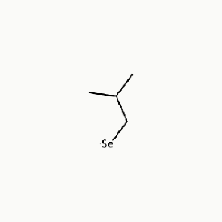 CC(C)C[Se]